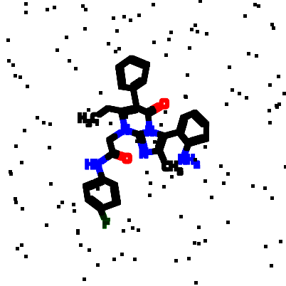 CCc1c(-c2ccccc2)c(=O)n2c(-c3ccccc3N)c(C)nc2n1CC(=O)Nc1ccc(F)cc1